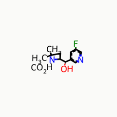 CC1(C)CC([C@H](O)c2cncc(F)c2)N1C(=O)O